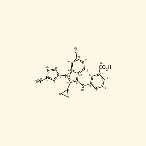 CCCn1cc(-n2c(C3CC3)c(Sc3cccc(C(=O)O)c3)c3ccc(Cl)cc32)cn1